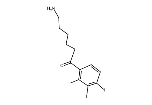 NCCCC[CH]C(=O)c1ccc(I)c(I)c1I